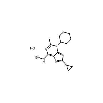 CCNc1nc(C)n(C2CCCCC2)c2nc(C3CC3)nc1-2.Cl